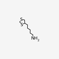 NCCCCCC1CSCS1